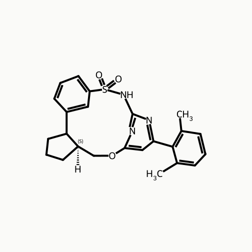 Cc1cccc(C)c1-c1cc2nc(n1)NS(=O)(=O)c1cccc(c1)C1CCC[C@@H]1CO2